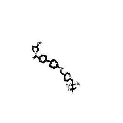 CC(C)(CN1CCC(CNc2ccc(-c3ccc(C(=O)N4CCC(O)C4)cc3)cc2)CC1)C(F)(F)F